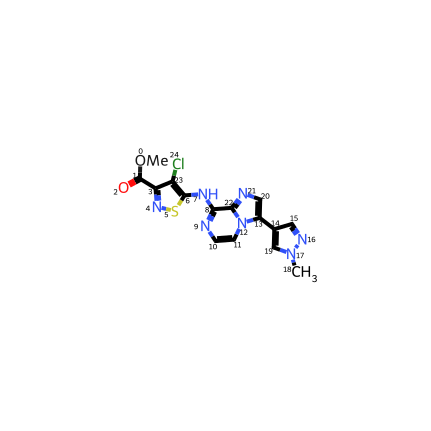 COC(=O)c1nsc(Nc2nccn3c(-c4cnn(C)c4)cnc23)c1Cl